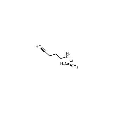 C#CCCCC.C=C.[C]